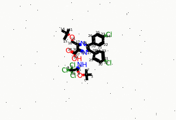 CC(C)(C)OC(=N)C(Cl)(Cl)Cl.CC(C)(C)OCc1nc(-c2ccc(Cl)cc2)c(-c2ccc(Cl)cc2)nc1C(=O)O